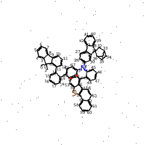 CC1(C)c2ccccc2-c2cccc(-c3ccccc3-c3ccc(N(c4ccc5c(c4)C4(CC6CCC4C6)c4ccccc4-5)c4ccccc4-c4cccc5sc6c7ccccc7ccc6c45)cc3)c21